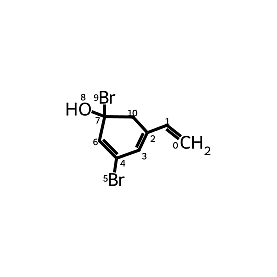 C=CC1=CC(Br)=CC(O)(Br)C1